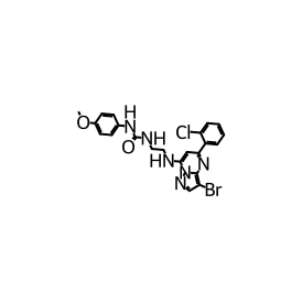 COc1ccc(NC(=O)NCCNc2cc(-c3ccccc3Cl)nc3c(Br)cnn23)cc1